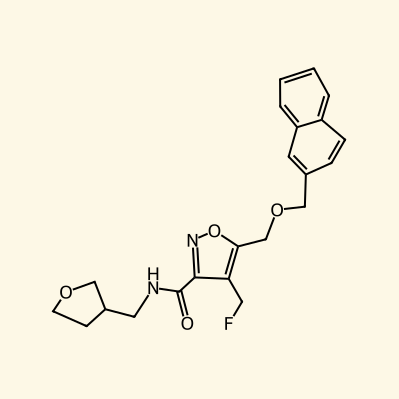 O=C(NCC1CCOC1)c1noc(COCc2ccc3ccccc3c2)c1CF